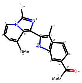 CNc1cccn2c(C(C)C)nc(-c3[nH]c4cc(C(=O)OC)ccc4c3C)c12